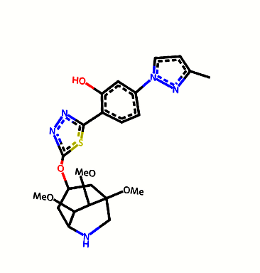 COC1C2CC(Oc3nnc(-c4ccc(-n5ccc(C)n5)cc4O)s3)CC(OC)(CN2)C1OC